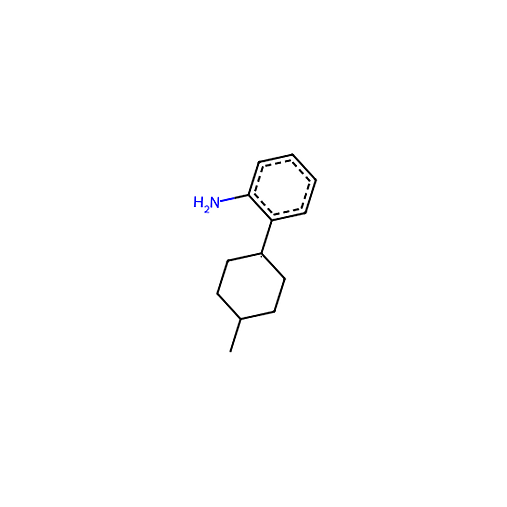 CC1CC[C](c2ccccc2N)CC1